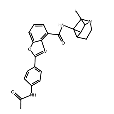 CC(=O)Nc1ccc(-c2nc3c(C(=O)NC4C5CCN(CC5)C4I)cccc3o2)cc1